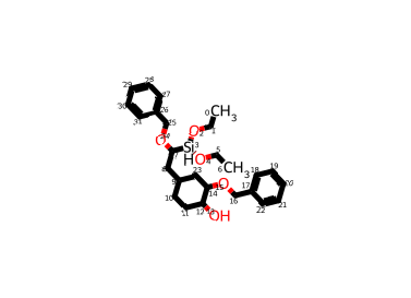 CCO[SiH](OCC)C(CC1CCC(O)C(OCc2ccccc2)C1)OCc1ccccc1